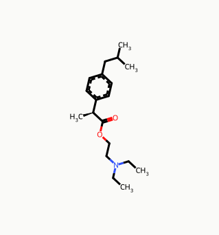 CCN(CC)CCOC(=O)[C@@H](C)c1ccc(CC(C)C)cc1